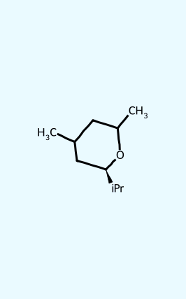 CC1CC(C)O[C@@H](C(C)C)C1